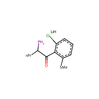 [CH2]CCC(P)C(=O)c1c(Cl)cccc1SC.[LiH]